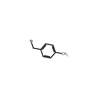 Cc1ccc([CH]Br)cc1